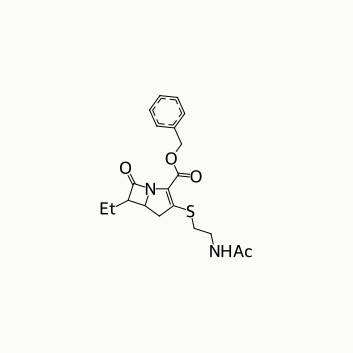 CCC1C(=O)N2C(C(=O)OCc3ccccc3)=C(SCCNC(C)=O)CC12